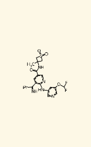 CC(C)C(=N)c1cc(C(=O)NC2(C)CS(=O)(=O)C2)cnc1Nc1cncc(OC(F)F)c1